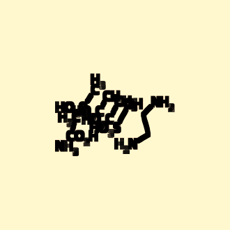 CC(=O)O.CC(=O)O.CC(=O)O.CC(=O)O.N.NCCN.O=S(=O)(O)O